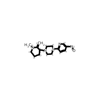 C=C1C(N2CCN(c3ccc(N=O)cn3)CC2)CCCN1C